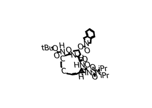 CC(C)N(C(C)C)S(=O)(=O)NC(=O)[C@@]12C[C@H]1/C=C\CCCCC[C@H](NC(=O)OC(C)(C)C)C(=O)N1C[C@H](OC(=O)N3Cc4ccccc4C3)C[C@H]1C(=O)N2